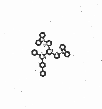 C1=CC(c2cc(-c3nc(-c4ccccc4)nc(-c4ccc(-c5ccccc5)cc4)n3)cc(-c3cccc(-n4c5ccccc5c5ccccc54)n3)n2)NC(n2c3ccccc3c3ccccc32)=C1